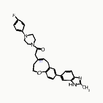 Cc1nc2ccc(-c3ccc4c(c3)C/C=C(/CC(=O)N3CCN(c5ccc(F)cc5)CC3)CCO4)cc2[nH]1